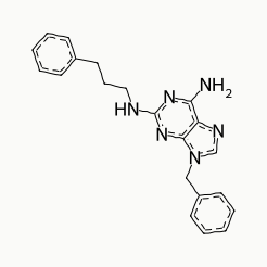 Nc1nc(NCCCc2ccccc2)nc2c1ncn2Cc1ccccc1